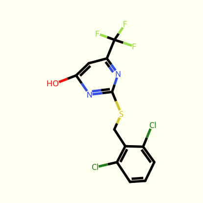 Oc1cc(C(F)(F)F)nc(SCc2c(Cl)cccc2Cl)n1